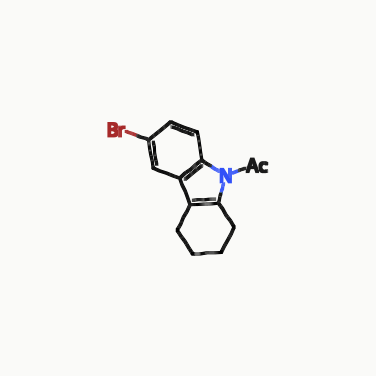 CC(=O)n1c2c(c3cc(Br)ccc31)CCCC2